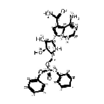 NC(=O)c1cc([C@@H]2N[C@H](COP(=O)(Oc3ccccc3)Oc3ccccc3)[C@@H](O)[C@H]2O)n2ncnc(N)c12